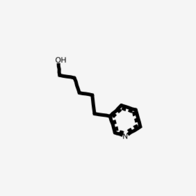 OCCCCCc1cccnc1